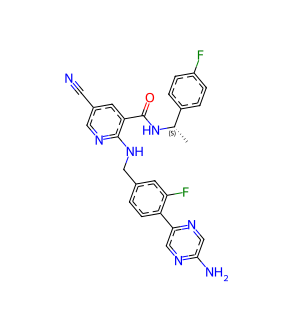 C[C@H](NC(=O)c1cc(C#N)cnc1NCc1ccc(-c2cnc(N)cn2)c(F)c1)c1ccc(F)cc1